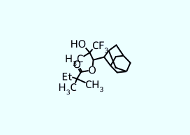 CCC(C)(C)C(=O)OC(C1C2CC3CC(C2)CC1C3)C(C)(O)C(F)(F)F